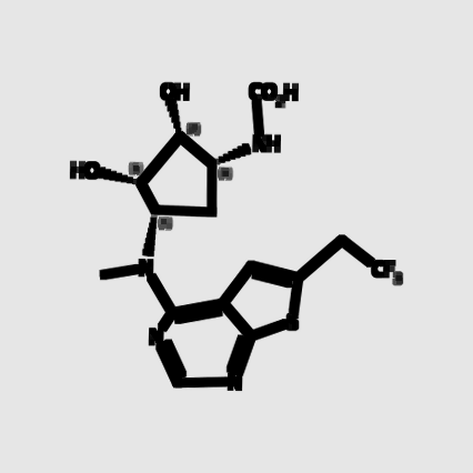 CN(c1ncnc2sc(CC(F)(F)F)cc12)[C@H]1C[C@@H](NC(=O)O)[C@@H](O)[C@H]1O